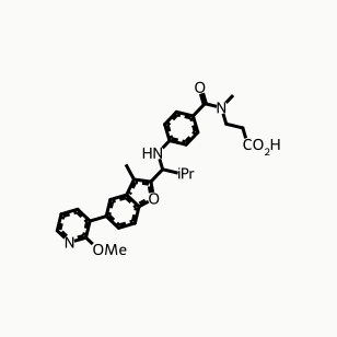 COc1ncccc1-c1ccc2oc(C(Nc3ccc(C(=O)N(C)CCC(=O)O)cc3)C(C)C)c(C)c2c1